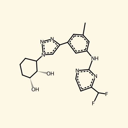 Cc1cc(Nc2nccc(C(F)F)n2)cc(-c2cn(C3CCC[C@@H](O)[C@H]3O)nn2)c1